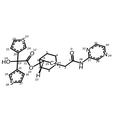 O=C(C[N+]12CCC(CC1)[C@@H](OC(=O)C(O)(c1ccsc1)c1ccsc1)C2)Nc1cnccn1